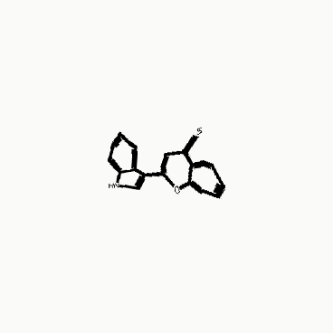 S=c1cc(-c2c[nH]c3ccccc23)oc2ccccc12